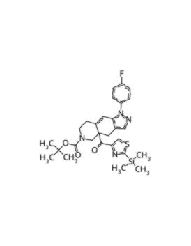 CC(C)(C)OC(=O)N1CCC2=Cc3c(cnn3-c3ccc(F)cc3)CC2(C(=O)c2csc([Si](C)(C)C)n2)C1